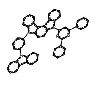 c1ccc(-c2cc(-n3c4ccccc4c4c5c6ccccc6n(-c6cccc(-n7c8ccccc8c8ccccc87)c6)c5ccc43)nc(-c3ccccc3)n2)cc1